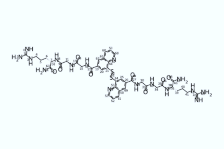 N=C(N)NCCC[C@H](NC(=O)CNC(=O)CNC(=O)c1cc(SSc2cc(C(=O)NCC(=O)NCC(=O)N[C@@H](CCCNC(=N)N)C(N)=O)cc3cccnc23)c2ncccc2c1)C(N)=O